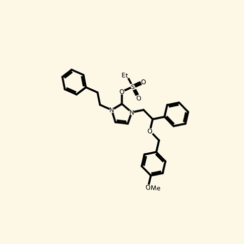 CCS(=O)(=O)OC1N(CCc2ccccc2)C=CN1CC(OCc1ccc(OC)cc1)c1ccccc1